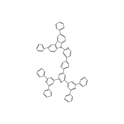 c1ccc(-c2ccc3c(c2)c2cc(-c4ccccc4)ccc2n3-c2cc(-c3ccc(-c4cc(-c5cc(-c6ccccc6)nc(-c6ccccc6)c5)nc(-c5cc(-c6ccccc6)nc(-c6ccccc6)c5)c4)cc3)ccn2)cc1